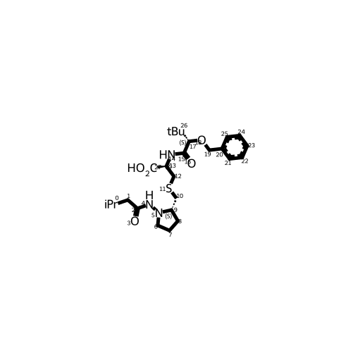 CC(C)CC(=O)NN1CCC[C@H]1CSC[C@H](NC(=O)[C@@H](OCc1ccccc1)C(C)(C)C)C(=O)O